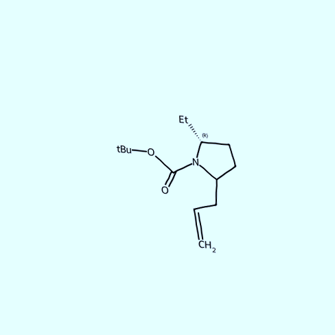 C=CCC1CC[C@@H](CC)N1C(=O)OC(C)(C)C